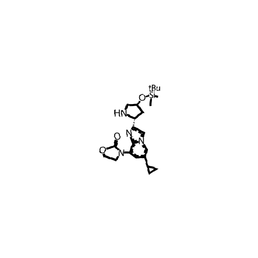 CC(C)(C)[Si](C)(C)O[C@@H]1CN[C@@H](c2cn3cc(C4CC4)cc(N4CCOC4=O)c3n2)C1